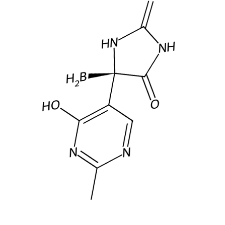 B[C@@]1(c2cnc(C)nc2O)NC(=O)NC1=O